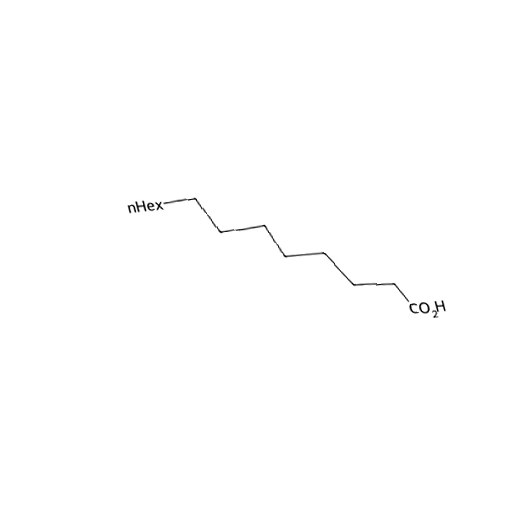 [13CH3]CCCCCCCCCCCCC(=O)O